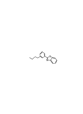 CCCCc1cccc(-c2nc3ccccc3s2)c1